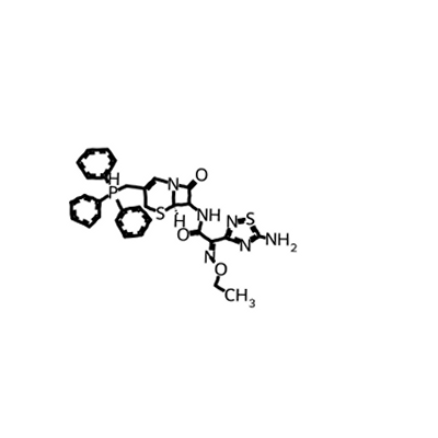 CCO/N=C(/C(=O)NC1C(=O)N2C=C(C[PH](c3ccccc3)(c3ccccc3)c3ccccc3)CS[C@H]12)c1nsc(N)n1